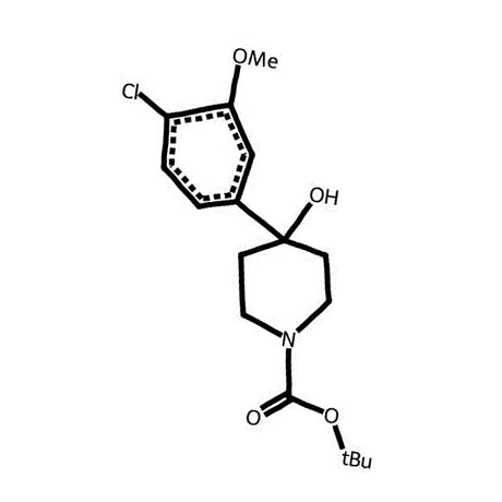 COc1cc(C2(O)CCN(C(=O)OC(C)(C)C)CC2)ccc1Cl